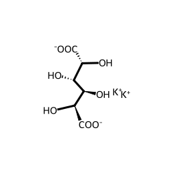 O=C([O-])[C@@H](O)[C@H](O)[C@H](O)[C@@H](O)C(=O)[O-].[K+].[K+]